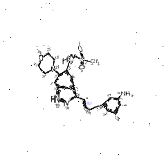 CS(=O)(=O)Nc1cc2c(/C=C/c3cccc(N)c3)n[nH]c2cc1N1CCOCC1